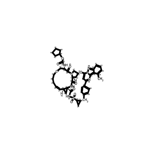 Cc1ccc(-c2cc(O[C@@H]3C[C@H]4C(=O)N[C@]5(C(=O)NS(=O)(=O)C6CC6)C[C@H]5/C=C\CCCCC[C@H](NC(=O)OC5CCCC5)C(=O)N4C3)n3nc4cccc(C)c4c3n2)cc1